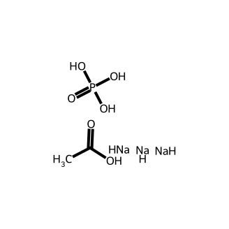 CC(=O)O.O=P(O)(O)O.[NaH].[NaH].[NaH]